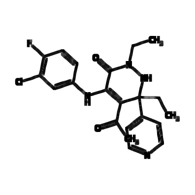 CCN1NC(CC)(c2ccncc2)C(C(C)=O)=C(Nc2ccc(F)c(Cl)c2)C1=O